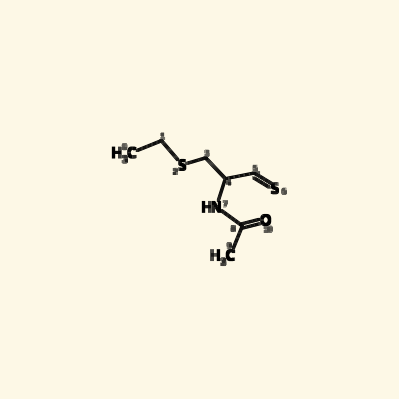 CCSCC([C]=S)NC(C)=O